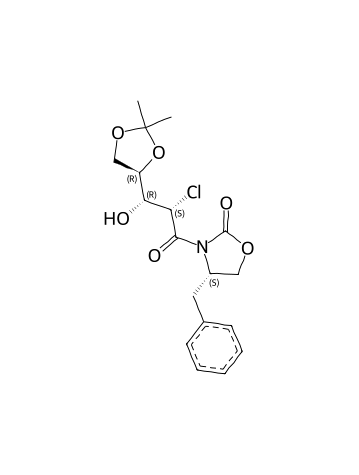 CC1(C)OC[C@H]([C@@H](O)[C@H](Cl)C(=O)N2C(=O)OC[C@@H]2Cc2ccccc2)O1